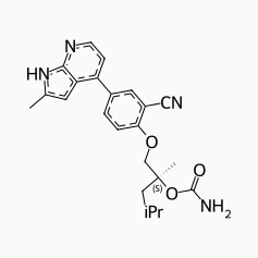 Cc1cc2c(-c3ccc(OC[C@](C)(CC(C)C)OC(N)=O)c(C#N)c3)ccnc2[nH]1